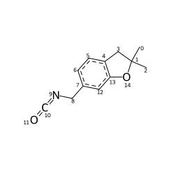 CC1(C)Cc2ccc(CN=C=O)cc2O1